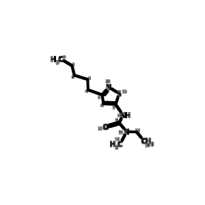 CCCCCc1cc(NC(=O)N(C)CC)sn1